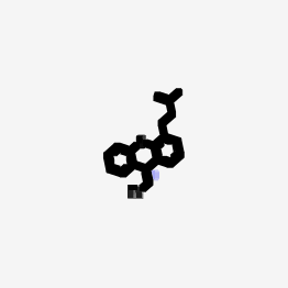 C=C(C)CCc1cccc2c1Sc1ccccc1/C2=C\CC